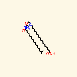 CC(C)CCCCCCCCCCCCCCC(N)=O.O=C(O)CCCCCCCCCCCCCCCCCN1CCOCC1